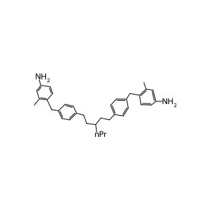 CCCC(CCc1ccc(Cc2ccc(N)cc2C)cc1)CCc1ccc(Cc2ccc(N)cc2C)cc1